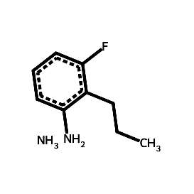 CCCc1c(N)cccc1F.N